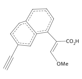 C#Cc1ccc2cccc(C(=COC)C(=O)O)c2c1